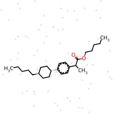 CCCCCOC(=O)C(C)c1ccc([C@H]2CC[C@H](CCCCC)CC2)cc1